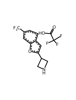 FC(F)(F)c1ccc2cc(C3CNC3)oc2c1.O=C(O)C(F)(F)F